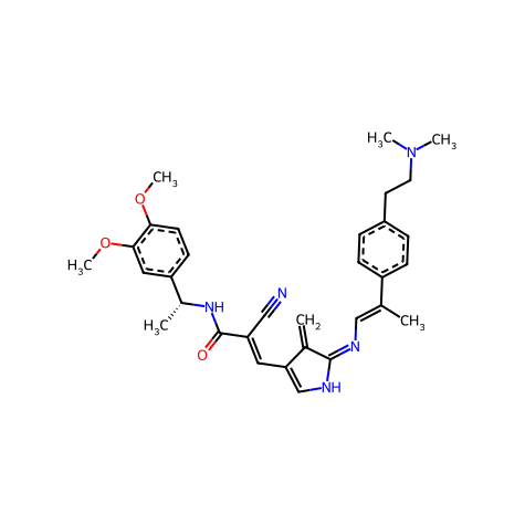 C=C1C(/C=C(\C#N)C(=O)N[C@H](C)c2ccc(OC)c(OC)c2)=CN/C1=N/C=C(\C)c1ccc(CCN(C)C)cc1